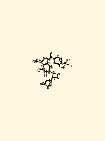 CC(c1ccc(C(F)(F)F)nc1)n1nc(C#N)c2c(=O)[nH]c(C3CCC3n3cc(F)cn3)nc21